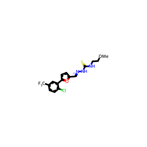 COCCNC(=S)N/N=C/c1ccc(-c2cc(C(F)(F)F)ccc2Cl)o1